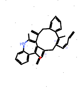 C=C/C=C\C1=C(/C)c2ccccc2CC(=C)C2=C(C)Nc3ccccc3C(C=C)=C2/C(=C\C)C1